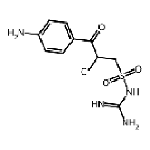 N=C(N)NS(=O)(=O)CC(Cl)C(=O)c1ccc(N)cc1